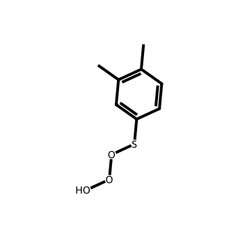 Cc1ccc(SOOO)cc1C